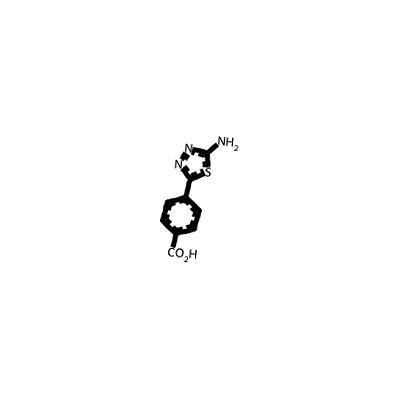 Nc1nnc(-c2ccc(C(=O)O)cc2)s1